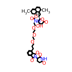 C[C@H]1C=C2C=C[C@H](C)C(CC[C@@H]3C[C@@H](O)CC(=O)O3)[C@H]2[C@@H](OC(=O)NCCOCCOCCOCCCc2cccc3c2C(=O)N(C2CCC(=O)NC2=O)C3=O)C1